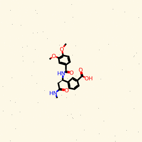 CNC(=O)C[C@@H](NC(=O)c1ccc(OC)c(OC)c1)c1cccc(C(=O)O)c1